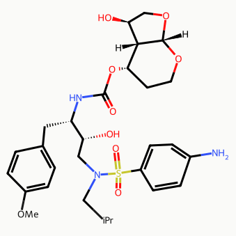 COc1ccc(C[C@H](NC(=O)O[C@H]2CCO[C@H]3OC[C@H](O)[C@H]32)[C@H](O)CN(CC(C)C)S(=O)(=O)c2ccc(N)cc2)cc1